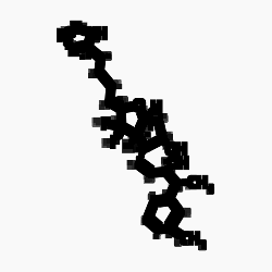 Cc1cccc([C@H](C)[C@H](O)/C=C\[C@@H]2[C@@H]3[C@H](C[C@H]2O)OC(=CCCCc2nnn[nH]2)C3(F)F)c1